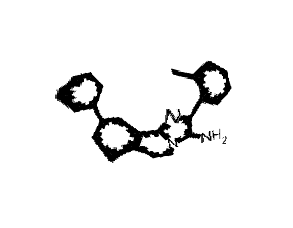 Cc1ccccc1-c1nc2c3cc(-c4ccccc4)ccc3ccn2c1N